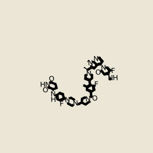 CNc1cc(=O)n(-c2ccnc3c2cc([C@H](C)N2CC=C(c4c(C)cc(C(=O)N5CCC(CN6CCN(c7ccc(N[C@@H]8CCC(=O)NC8=O)cc7F)CC6)CC5)cc4F)CC2)n3C)cc1F